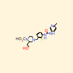 Cc1ccc(NC(=O)Nc2cccc(CN3CCN(C(=O)O)C(CCO)C3)c2F)cn1